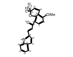 COc1ccc(C(=O)/C=C/c2ccc3ccccc3n2)c2c1C=CC(C)(C)O2